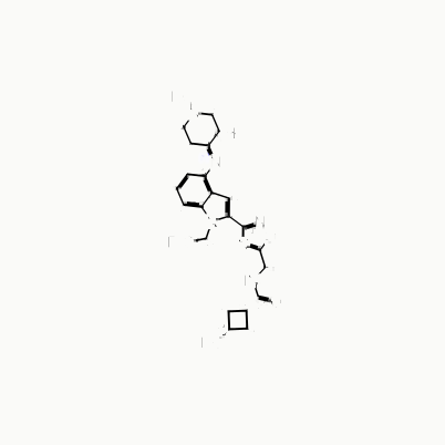 CN1CC/C(=N\c2cccc3c2cc(-c2noc(CNC(=O)[C@H]4C[C@H](C)C4)n2)n3CC(F)(F)F)[C@@H](F)C1